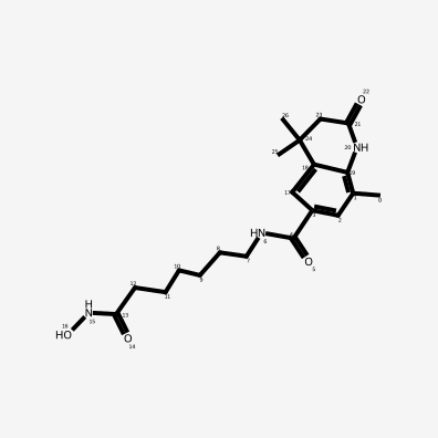 Cc1cc(C(=O)NCCCCCCC(=O)NO)cc2c1NC(=O)CC2(C)C